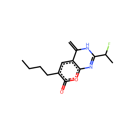 C=C1NC(C(C)F)=Nc2oc(=O)c(CCCC)cc21